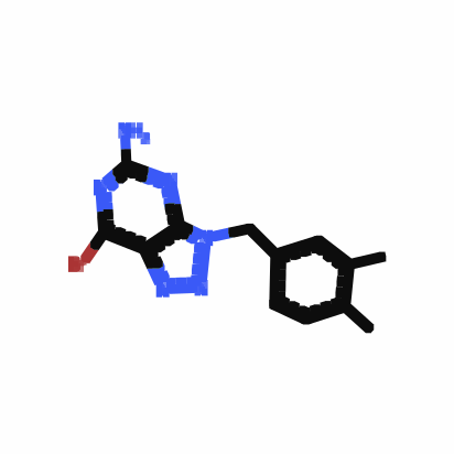 Cc1ccc(Cn2nnc3c(Br)nc(N)nc32)cc1C